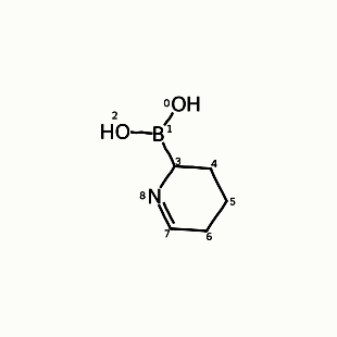 OB(O)C1CCCC=N1